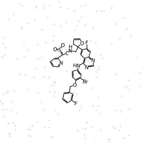 O=S(=O)=C(CNCC1(c2cc3c(Nc4ccc(OCc5cccc(F)c5)c(Br)c4)ncnc3cc2F)CC=CO1)c1ccccn1